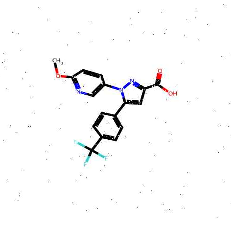 COc1ccc(-n2nc(C(=O)O)cc2-c2ccc(C(F)(F)F)cc2)cn1